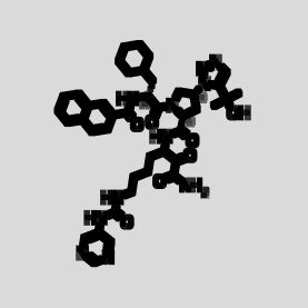 CC(C)(O)c1cnnn1[C@H]1C[C@@H](C(=O)NC(CCCCNC(=O)Nc2cncnc2)C(=O)C(N)=O)N(C(=O)[C@@H](CC2CCCCC2)NC(=O)c2ccc3ccccc3c2)C1